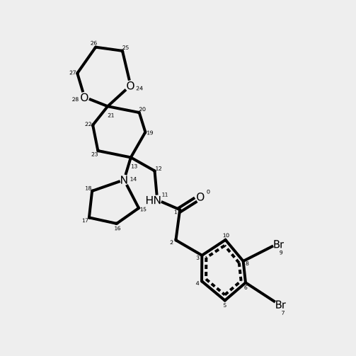 O=C(Cc1ccc(Br)c(Br)c1)NCC1(N2CCCC2)CCC2(CC1)OCCCO2